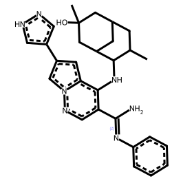 CC1CC2CC(CC(C)(O)C2)C1Nc1c(/C(N)=N/c2ccccc2)cnn2cc(-c3cn[nH]c3)cc12